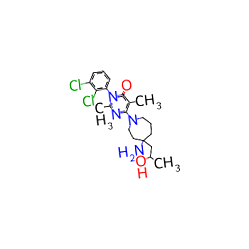 Cc1c(N2CCCC(N)(CC(C)O)CC2)nc(C)n(-c2cccc(Cl)c2Cl)c1=O